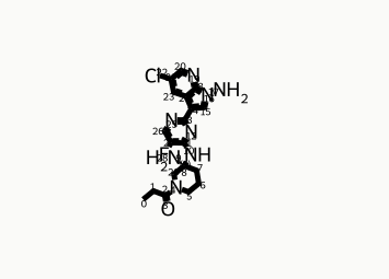 CCC(=O)N1CCC[C@](N)(Nc2nc(-c3cn(N)c4ncc(Cl)cc34)ncc2F)C1